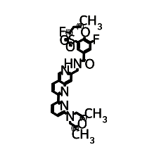 C[C@@H]1C[C@H](F)S(=O)(=O)c2cc(C(=O)NCc3cc4nc(-c5cccc(N6C[C@@H](C)O[C@@H](C)C6)n5)ccc4cn3)cc(F)c2O1